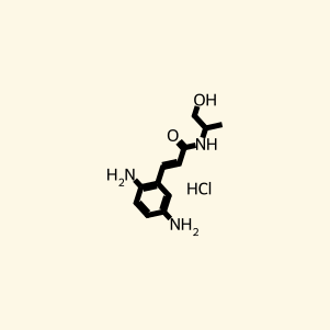 CC(CO)NC(=O)/C=C/c1cc(N)ccc1N.Cl